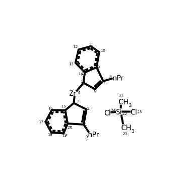 CCCC1=C[CH]([Zr][CH]2C=C(CCC)c3ccccc32)c2ccccc21.C[Si](C)(Cl)Cl